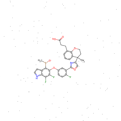 C[S+]([O-])c1c(Oc2ccc(F)c(-c3nc(C4(C)CCOc5c(CCC(=O)O)cccc54)co3)c2)c(F)c(F)c2[nH]ccc12